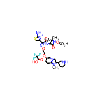 C[n+]1c(C2CCCNC2)cn2cc(OCCO/N=C(\C(=O)N[C@@H]3C(=O)N(OS(=O)(=O)O)C3(C)C)c3csc(N)n3)ccc21.O=C(O)C(F)(F)F